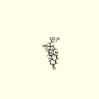 C[C@]12CCC(=O)C=C1C=C[C@@H]1C2=CC[C@@]2(C)[C@H]1CC[C@@]2(O)CCC(=O)O